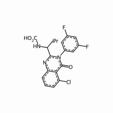 CC(C)C(NC(=O)O)c1nc2cccc(Cl)c2c(=O)n1-c1cc(F)cc(F)c1